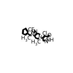 CC(c1ccccc1C(F)(F)F)n1nnc2c1C[C@@H](C)N(c1cn[nH]c(=O)c1Cl)C2